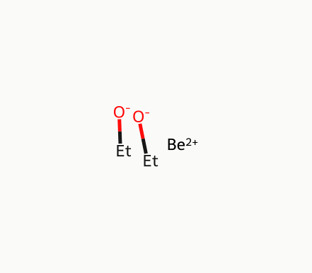 CC[O-].CC[O-].[Be+2]